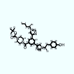 CCC[C@@H](C)n1cc(-c2cc(C(=O)N3CCN(C(=O)OC(C)(C)C)CC3)cc(-c3cn([C@H](C)Cc4ccc(O)cc4)nn3)c2)nn1